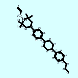 C=CON1C(C)(C)CC(c2ccc(C3CCC(c4ccc(CCC)cc4)CC3)cc2)CC1(C)C